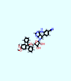 COC1(OC)C=CC(C(OC[C@H]2OC(n3cc4c5c(ncnc53)Nc3cc(C#N)ccc3-4)[C@H](O)[C@@H]2O)(c2ccccc2)c2ccccc2)=CC1